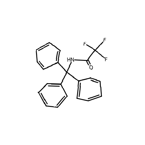 O=C(NC(c1ccccc1)(c1ccccc1)c1ccccc1)C(F)(F)F